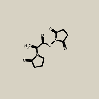 C=C(C(=O)ON1C(=O)CCC1=O)N1CCCC1=O